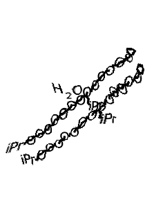 CC(C)CCOCCOCCOCCOCCOCCOCCOCC(CCC(C)C)OCCOCCOCCOCCOCCOc1ccccc1.CC(C)CCOCCOCCOCCOCCOCCOCCOCC(CCC(C)C)OCCOCCOCCOCCOCCOc1ccccc1.O